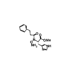 COC(=O)[C@H](Cc1c[nH]cn1)N(ON)C(=O)CCc1ccccc1